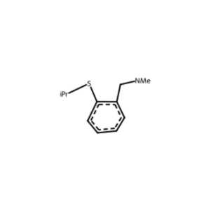 CNCc1ccccc1SC(C)C